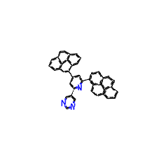 c1cc2ccc3cccc4c(-c5cc(-c6cncnc6)nc(-c6ccc7ccc8cccc9ccc6c7c89)c5)cc(c1)c2c34